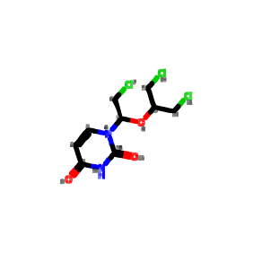 O=c1ccn([C@@H](CCl)OC(CCl)CCl)c(=O)[nH]1